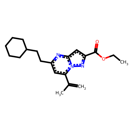 C=C(C)c1cc(CCC2CCCCC2)nc2cc(C(=O)OCC)nn12